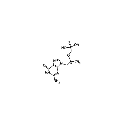 C[C@@H](Cn1cnc2c(=O)[nH]c(N)nc21)OCP(=O)(O)O